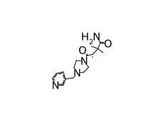 CC(C)([CH]C(=O)N1CCN(Cc2cccnc2)CC1)C(N)=O